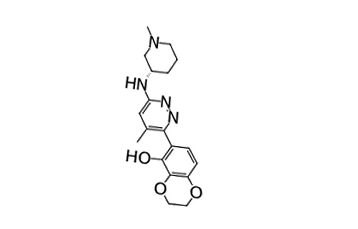 Cc1cc(N[C@H]2CCCN(C)C2)nnc1-c1ccc2c(c1O)OCCO2